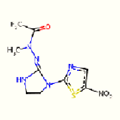 CN(N=C1NCCN1c1ncc([N+](=O)[O-])s1)C(=O)C(F)(F)F